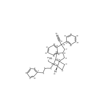 C[N+]1(CCCc2ccccc2)[C@H]2CCC23CC(CC(C#N)(c2ccccc2)c2ccccc2)C[C@@H]31